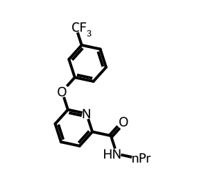 CCCNC(=O)c1cccc(Oc2cccc(C(F)(F)F)c2)n1